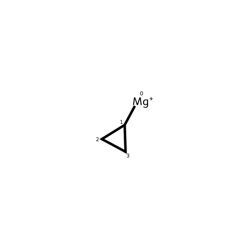 [Mg+][CH]1CC1